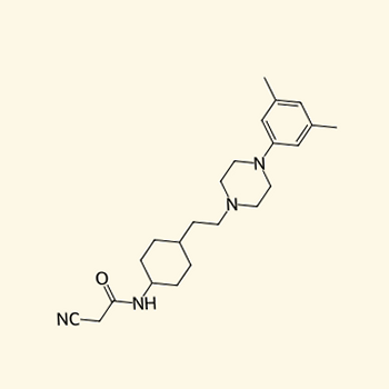 Cc1cc(C)cc(N2CCN(CCC3CCC(NC(=O)CC#N)CC3)CC2)c1